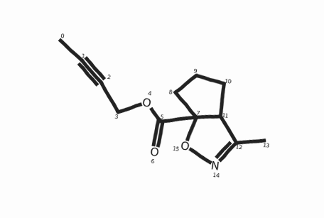 CC#CCOC(=O)C12CCCC1C(C)=NO2